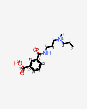 CCCN(C)CCCNC(=O)c1cccc(C(=O)O)c1